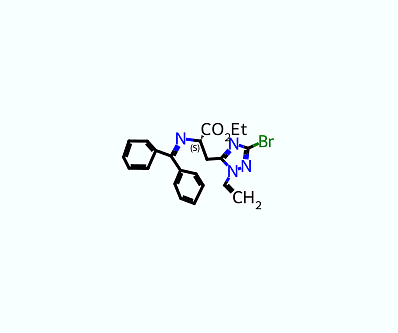 C=Cn1nc(Br)nc1C[C@H](N=C(c1ccccc1)c1ccccc1)C(=O)OCC